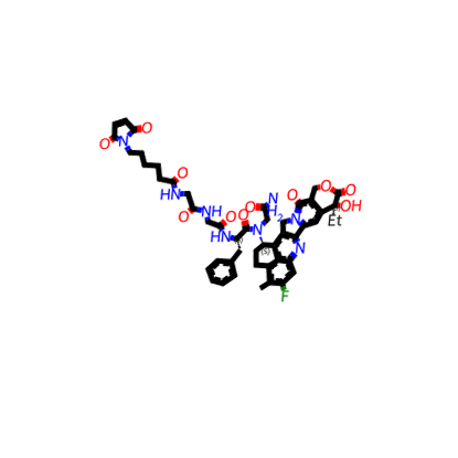 CC[C@@]1(O)C(=O)OCc2c1cc1n(c2=O)Cc2c-1nc1cc(F)c(C)c3c1c2[C@@H](N(CC(N)=O)C(=O)[C@H](Cc1ccccc1)NC(=O)CNC(=O)CNC(=O)CCCCCN1C(=O)C=CC1=O)CC3